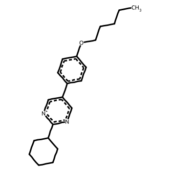 CCCCCOc1ccc(-c2cnc(C3CCCCC3)nc2)cc1